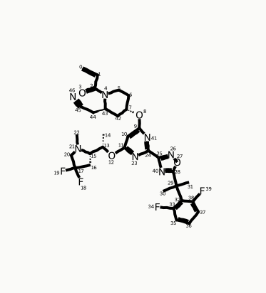 C=CC(=O)N1CC[C@H](Oc2cc(O[C@@H](C)[C@@H]3CC(F)(F)CN3C)nc(-c3noc(C(C)(C)c4c(F)cccc4F)n3)n2)C[C@H]1CC#N